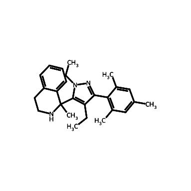 CCc1c(-c2c(C)cc(C)cc2C)nn(CC)c1C1(C)NCCc2ccccc21